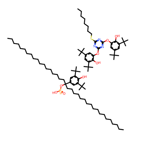 CCCCCCCCCCCCCCCCCCC(CCCCCCCCCCCCCCCCCC)(O[PH](=O)O)c1cc(C(C)(C)C)c(O)c(C(C)(C)C)c1.CCCCCCCCSc1nc(Oc2cc(C(C)(C)C)cc(C(C)(C)C)c2O)nc(Oc2cc(C(C)(C)C)cc(C(C)(C)C)c2O)n1